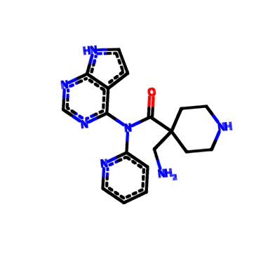 NCC1(C(=O)N(c2ccccn2)c2ncnc3[nH]ccc23)CCNCC1